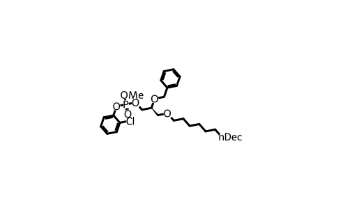 CCCCCCCCCCCCCCCCOC[C@@H](COP(=O)(OC)Oc1ccccc1Cl)OCc1ccccc1